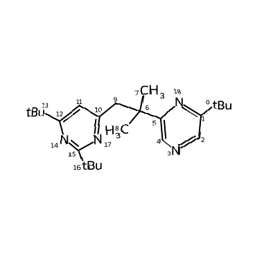 CC(C)(C)c1cncc(C(C)(C)Cc2cc(C(C)(C)C)nc(C(C)(C)C)n2)n1